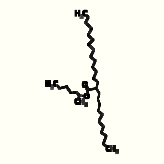 CCCCCCCCCCCCCCC(CCCCCCCCCCC)C(=O)OC(C)CCCCC